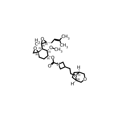 CO[C@@H]1[C@H](OC(=O)N2CC(CCN3[C@@H]4CC[C@H]3COC4)C2)CC[C@]2(CO2)[C@H]1[C@@]1(C)O[C@@H]1CC=C(C)C